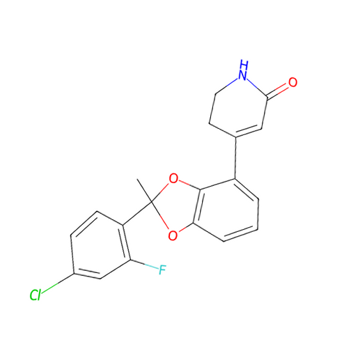 CC1(c2ccc(Cl)cc2F)Oc2cccc(C3=CC(=O)NCC3)c2O1